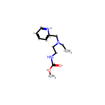 CCN(CCNC(=O)OC)Cc1ccccn1